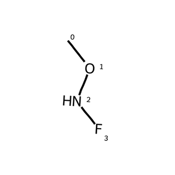 CONF